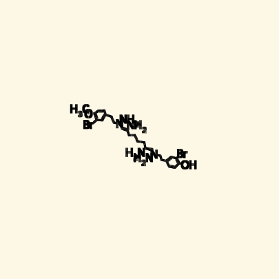 COc1ccc(CCN(N)/C=C(\N)CCCC/C(N)=C/N(N)CCc2ccc(O)c(Br)c2)cc1Br